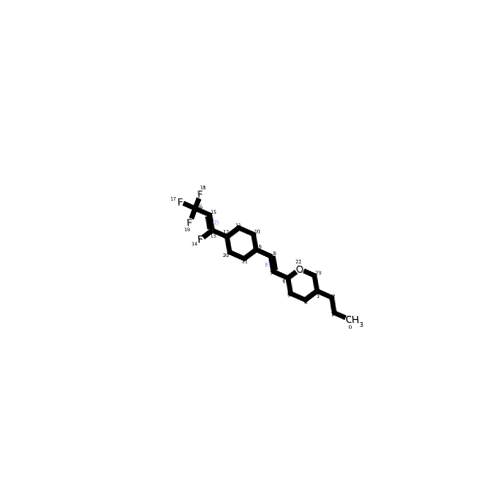 CCCC1CCC(/C=C/C2CCC(/C(F)=C/C(F)(F)F)CC2)OC1